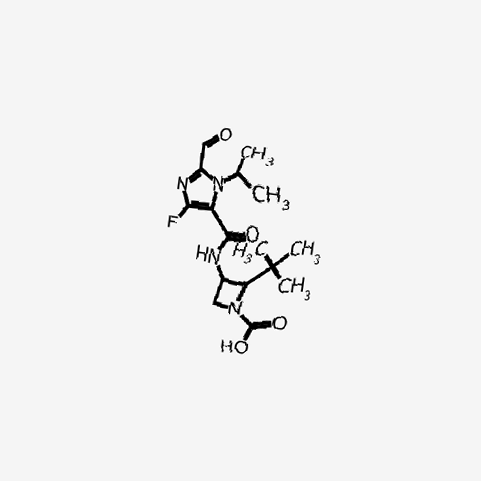 CC(C)n1c(C=O)nc(F)c1C(=O)NC1CN(C(=O)O)C1C(C)(C)C